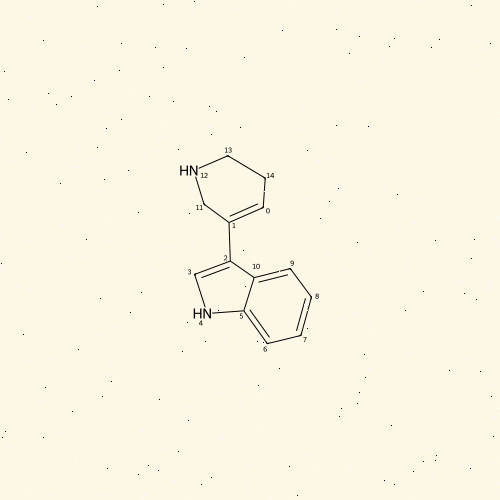 C1=C(c2c[nH]c3ccccc23)CNCC1